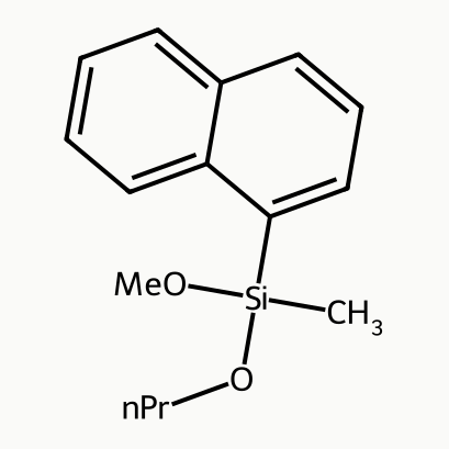 CCCO[Si](C)(OC)c1cccc2ccccc12